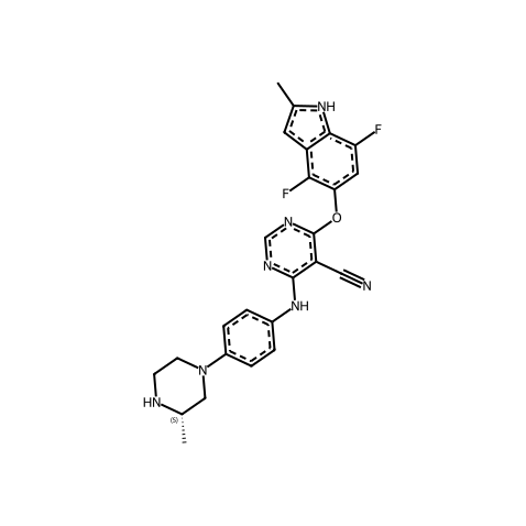 Cc1cc2c(F)c(Oc3ncnc(Nc4ccc(N5CCN[C@@H](C)C5)cc4)c3C#N)cc(F)c2[nH]1